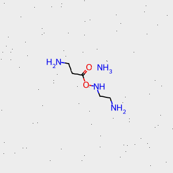 N.NCCNOC(=O)CCN